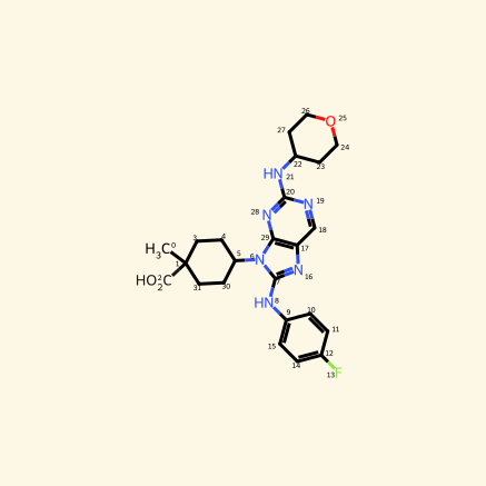 CC1(C(=O)O)CCC(n2c(Nc3ccc(F)cc3)nc3cnc(NC4CCOCC4)nc32)CC1